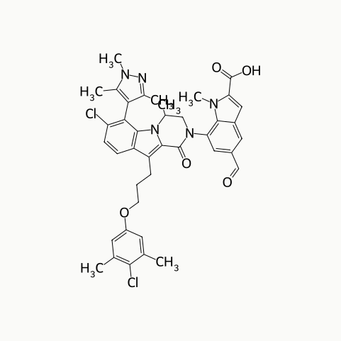 Cc1cc(OCCCc2c3n(c4c(-c5c(C)nn(C)c5C)c(Cl)ccc24)C(C)CN(c2cc(C=O)cc4cc(C(=O)O)n(C)c24)C3=O)cc(C)c1Cl